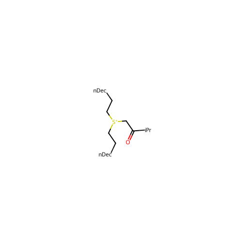 CCCCCCCCCCCC[S+](CCCCCCCCCCCC)CC(=O)C(C)C